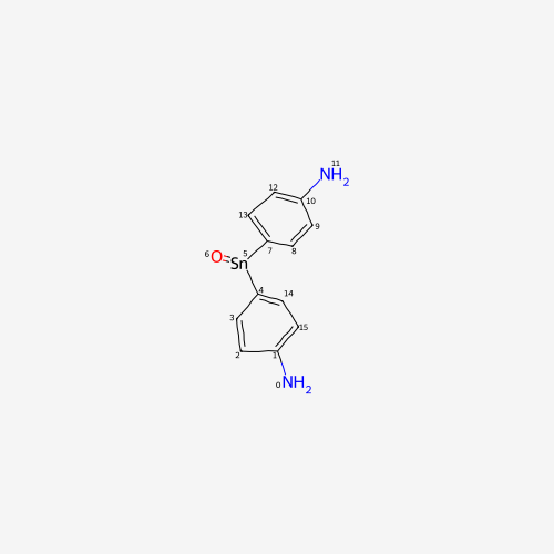 Nc1cc[c]([Sn](=[O])[c]2ccc(N)cc2)cc1